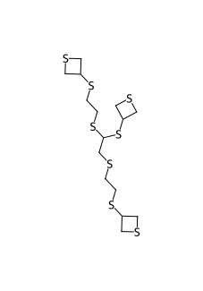 C(CSC1CSC1)SCC(SCCSC1CSC1)SC1CSC1